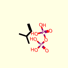 C=C[C](C)C.O=P(O)(O)OP(=O)(O)O